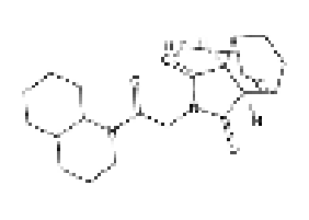 CC1CCC2CCC1[C@@H]1C(=O)N(CC(=O)N3CCCC4CCCCC43)C(=O)[C@H]21